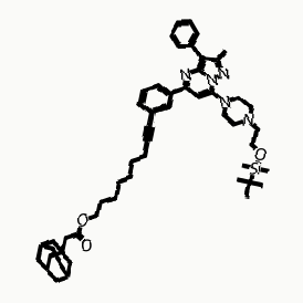 Cc1nn2c(N3CCN(CCO[Si](C)(C)C(C)(C)C)CC3)cc(-c3cccc(C#CCCCCCCCOC(=O)CC45CC6CC(CC(C6)C4)C5)c3)nc2c1-c1ccccc1